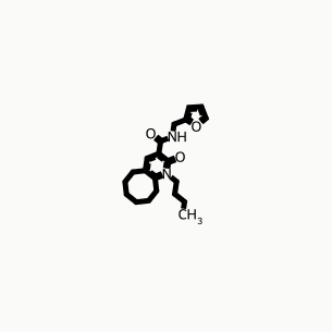 CCCCn1c2c(cc(C(=O)NCc3ccco3)c1=O)CCCCCC2